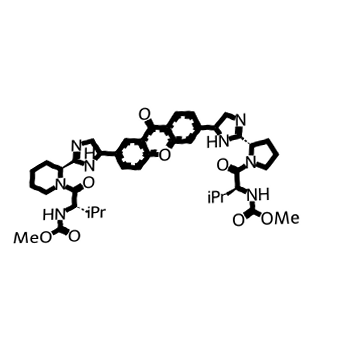 COC(=O)N[C@H](C(=O)N1CCCC[C@H]1C1=NCC(c2ccc3oc4cc(C5CN=C([C@@H]6CCCN6C(=O)[C@@H](NC(=O)OC)C(C)C)N5)ccc4c(=O)c3c2)N1)C(C)C